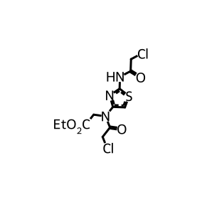 CCOC(=O)CN(C(=O)CCl)c1csc(NC(=O)CCl)n1